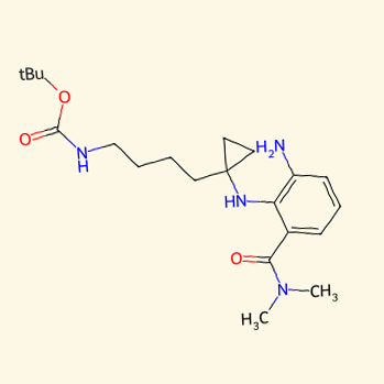 CN(C)C(=O)c1cccc(N)c1NC1(CCCCNC(=O)OC(C)(C)C)CC1